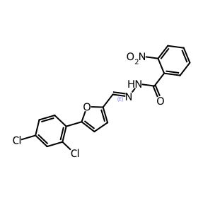 O=C(N/N=C/c1ccc(-c2ccc(Cl)cc2Cl)o1)c1ccccc1[N+](=O)[O-]